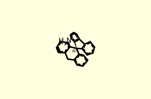 Nc1cccc2c1[C@@]1(c3ccc#cc3Cc3ccccc31)c1ccccc1-2